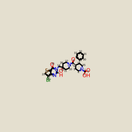 O=C(O)N1CC[C@@H](C(=O)N2CCC(O)(Cn3cnc4c(Br)csc4c3=O)CC2)[C@H](c2ccccc2)C1